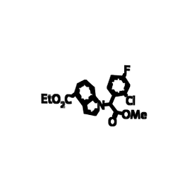 CCOC(=O)c1cccc2c1ccn2C(C(=O)OC)c1ccc(F)cc1Cl